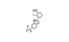 CCc1c(S)cccc1-c1nc2cc(C(F)(F)F)ccc2s1